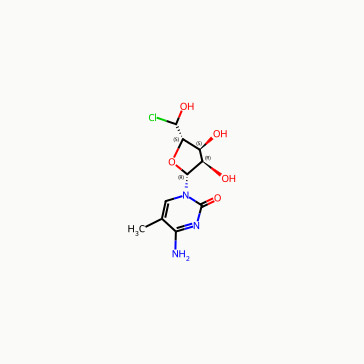 Cc1cn([C@@H]2O[C@H](C(O)Cl)[C@@H](O)[C@H]2O)c(=O)nc1N